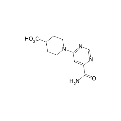 NC(=O)c1cc(N2CCC(C(=O)O)CC2)ncn1